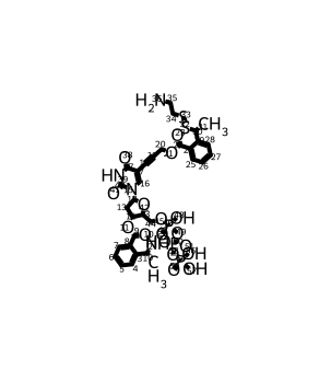 CC(N)c1ccccc1C(=O)O[C@@H]1C[C@H](n2cc(C#CCOC(=O)c3ccccc3C(C)SSCCN)c(=O)[nH]c2=O)OC1COP(=O)(O)OP(=O)(O)OP(=O)(O)O